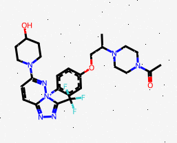 CC(=O)N1CCN(C(C)COc2ccc([N+]34N=C(N5CCC(O)CC5)C=CC3=NN=C4C(F)(F)F)cc2)CC1